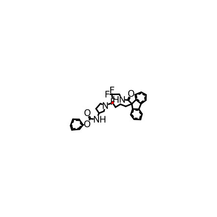 O=C(NC1CCN(CCCCC2(C(=O)NCC(F)(F)F)c3ccccc3-c3ccccc32)C1)Oc1ccccc1